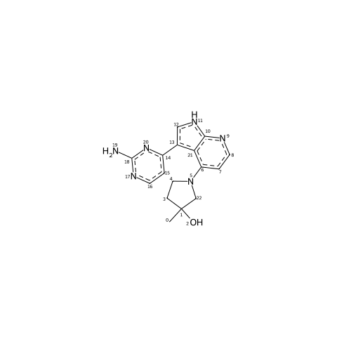 CC1(O)CCN(c2ccnc3[nH]cc(-c4ccnc(N)n4)c23)C1